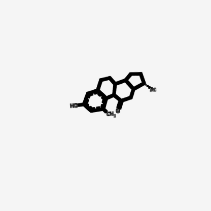 CC(=O)[C@H]1CCC2C3CCc4cc(O)cc(C)c4C3C(=O)CC21